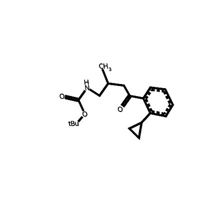 CC(CNC(=O)OC(C)(C)C)CC(=O)c1ccccc1C1CC1